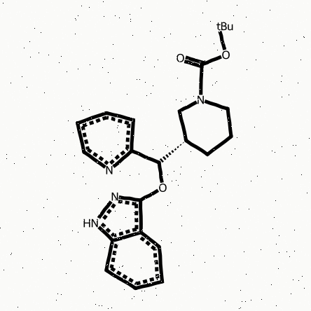 CC(C)(C)OC(=O)N1CCC[C@H](C(Oc2n[nH]c3ccccc23)c2ccccn2)C1